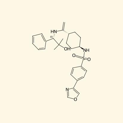 C=C(N[C@@H](c1ccccc1)C(C)(C)O)[C@H]1CC[C@H](NS(=O)(=O)c2ccc(-c3cocn3)cc2)CC1